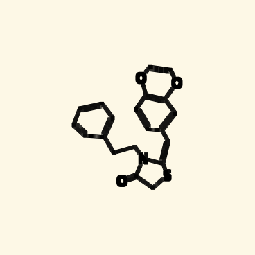 O=C1CSC(=Cc2ccc3c(c2)OC=CO3)N1CCc1ccccc1